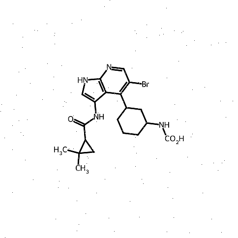 CC1(C)CC1C(=O)Nc1c[nH]c2ncc(Br)c(C3CCCC(NC(=O)O)C3)c12